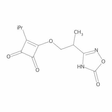 CC(C)c1c(OCC(C)c2noc(=O)[nH]2)c(=O)c1=O